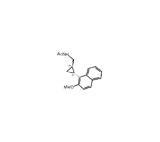 COc1ccc2ccccc2c1[C@@H]1C[C@H]1CNC(C)=O